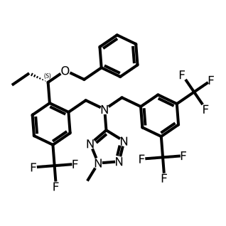 CC[C@H](OCc1ccccc1)c1ccc(C(F)(F)F)cc1CN(Cc1cc(C(F)(F)F)cc(C(F)(F)F)c1)c1nnn(C)n1